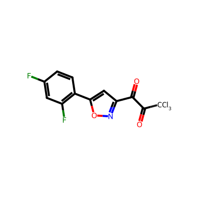 O=C(C(=O)C(Cl)(Cl)Cl)c1cc(-c2ccc(F)cc2F)on1